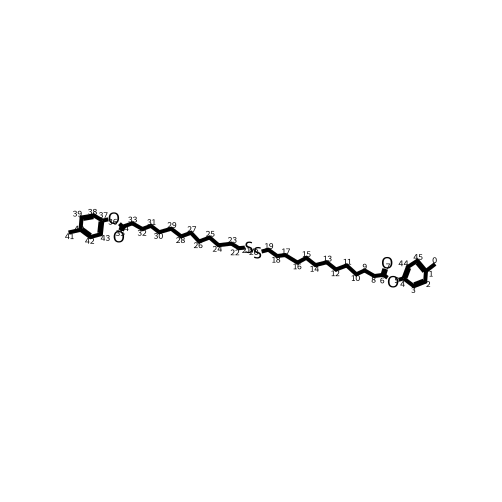 Cc1ccc(OC(=O)CCCCCCCCCCCCSSCCCCCCCCCCCCC(=O)Oc2ccc(C)cc2)cc1